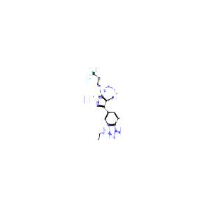 CCn1nnc2ccc(-c3c[nH]c4c3C=NCN4CCC(F)(F)F)cc21